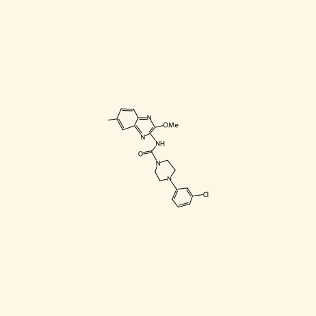 COc1nc2ccc(C)cc2nc1NC(=O)N1CCN(c2cccc(Cl)c2)CC1